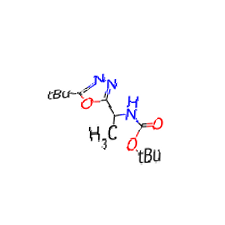 CC(NC(=O)OC(C)(C)C)c1nnc(C(C)(C)C)o1